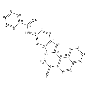 NC(=O)c1ccc2ccccc2c1-c1nc2ccc(NC(=O)c3ccccc3)cc2s1